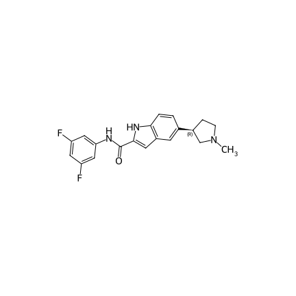 CN1CC[C@H](c2ccc3[nH]c(C(=O)Nc4cc(F)cc(F)c4)cc3c2)C1